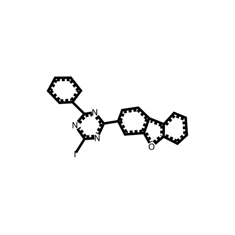 Ic1nc(-c2ccccc2)nc(-c2ccc3c(c2)oc2ccccc23)n1